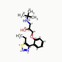 CCc1snnc1-c1ccccc1OCC(O)CNC(C)(C)C